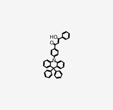 O=C(C=C(O)c1ccccc1)c1ccc(N2c3ccccc3C(c3ccccc3)(c3ccccc3)c3ccccc32)cc1